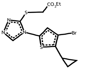 CCOC(=O)CSc1nncn1-c1cc(Br)c(C2CC2)s1